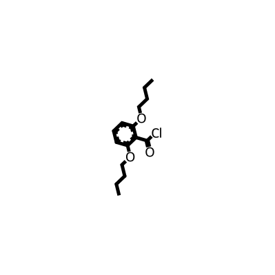 CCCCOc1cccc(OCCCC)c1C(=O)Cl